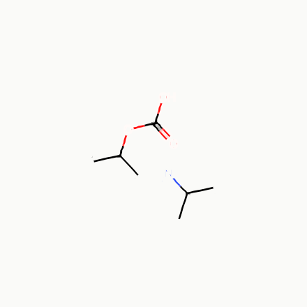 CC(C)N.CC(C)OC(=O)O